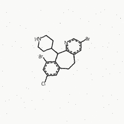 Clc1cc(Br)c2c(c1)CCc1cc(Br)cnc1C2C1CCNCC1